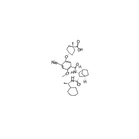 COc1cc(C#N)c(O[C@H]2CC[C@@](C)(C(=O)O)CC2)cc1C(=O)N[C@@H]1[C@H]2CC[C@H](C2)[C@@H]1C(=O)N[C@H](C)C1CCCCC1